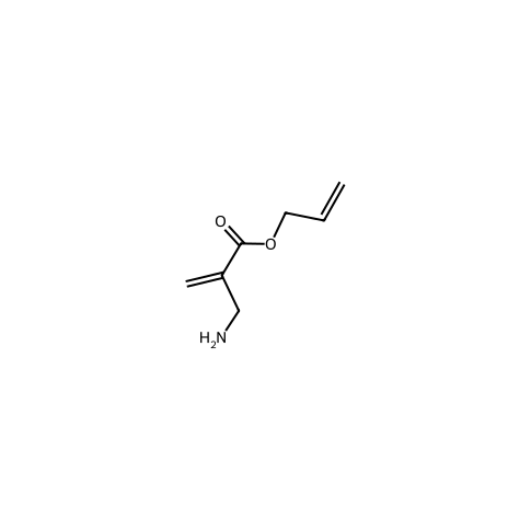 C=CCOC(=O)C(=C)CN